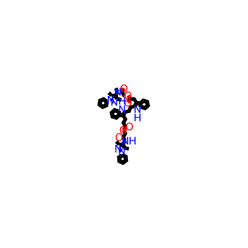 Cc1nn(-c2ccccc2)c(C)c1NC(=O)COC(=O)CCc1c(CCc2[nH]c3ccccc3c2CC(=O)OCC(=O)N(C)c2c(C)nn(-c3ccccc3)c2C)[nH]c2ccccc12